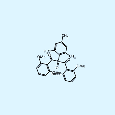 COc1cccc(OC)c1C(=O)P(=O)(C(=O)c1c(OC)cccc1OC)c1c(C)cc(C)cc1C